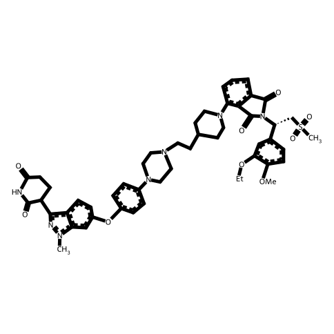 CCOc1cc([C@@H](CS(C)(=O)=O)N2C(=O)c3cccc(N4CCC(CCN5CCN(c6ccc(Oc7ccc8c(C9CCC(=O)NC9=O)nn(C)c8c7)cc6)CC5)CC4)c3C2=O)ccc1OC